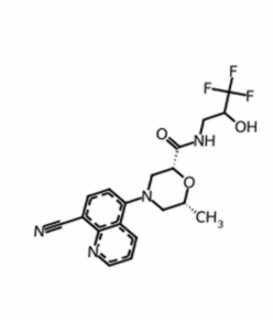 C[C@@H]1CN(c2ccc(C#N)c3ncccc23)C[C@H](C(=O)NCC(O)C(F)(F)F)O1